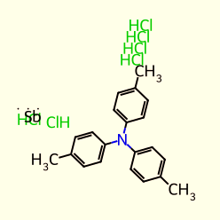 Cc1ccc(N(c2ccc(C)cc2)c2ccc(C)cc2)cc1.Cl.Cl.Cl.Cl.Cl.Cl.[Sb]